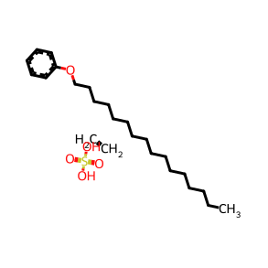 C=C.CCCCCCCCCCCCCCCCOc1ccccc1.O=S(=O)(O)O